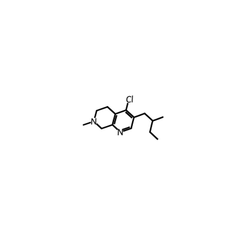 CCC(C)Cc1cnc2c(c1Cl)CCN(C)C2